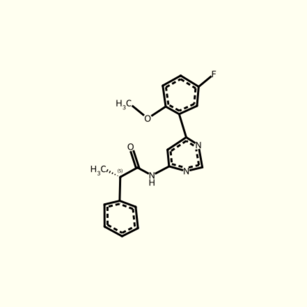 COc1ccc(F)cc1-c1cc(NC(=O)[C@@H](C)c2ccccc2)ncn1